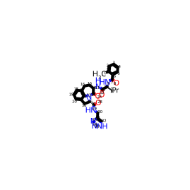 Cc1ccccc1C(=O)N[C@H](C(=O)N[C@H]1CCc2cccc3c2N(C1=O)[C@H](C(=O)NCc1c[nH]nn1)C3)C(C)C